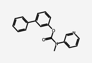 CN(C(=O)Oc1cccc(-c2ccccc2)c1)c1cccnc1